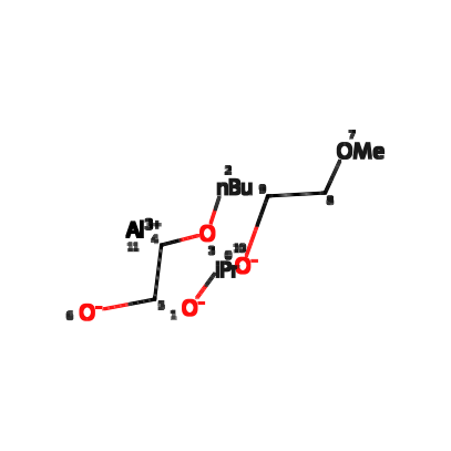 CC(C)[O-].CCCCOCC[O-].COCC[O-].[Al+3]